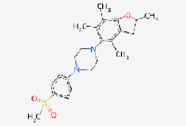 Cc1c(C)c(N2CCN(c3ccc(S(C)(=O)=O)cc3)CC2)c(C)c2c1OC(C)C2